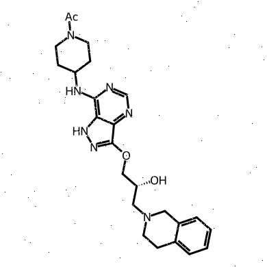 CC(=O)N1CCC(Nc2ncnc3c(OC[C@H](O)CN4CCc5ccccc5C4)n[nH]c23)CC1